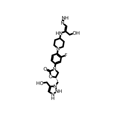 N=N/C=C(/CO)NC1CCN(c2ccc(N3C[C@H](CN4NNC=C4CO)OC3=O)cc2F)CC1